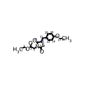 CCOC(=O)CN1C(=O)S/C(=C\c2ccc(OCC)cc2)C1=O